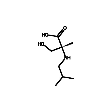 CC(C)CN[C@@](C)(CO)C(=O)O